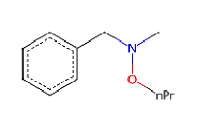 CCCON(C)Cc1ccccc1